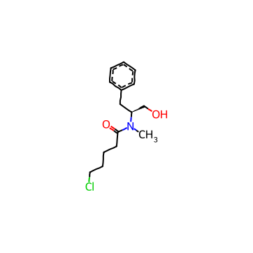 CN(C(=O)CCCCCl)[C@H](CO)Cc1ccccc1